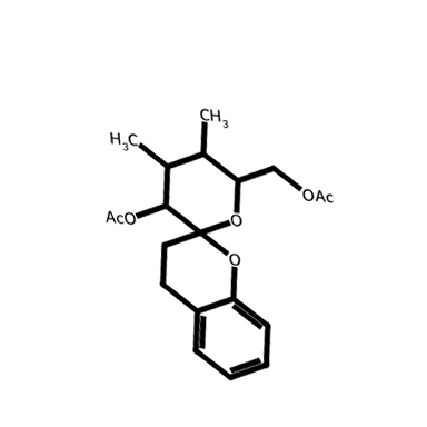 CC(=O)OCC1OC2(CCc3ccccc3O2)C(OC(C)=O)C(C)C1C